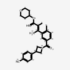 C/C(C(=N)OC1CCOCC1)=C(/N)c1cc(C(=O)N2CC(c3ccc(C#N)cc3)C2)ccc1C